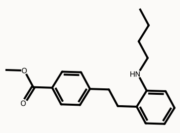 CCCCNc1ccccc1CCc1ccc(C(=O)OC)cc1